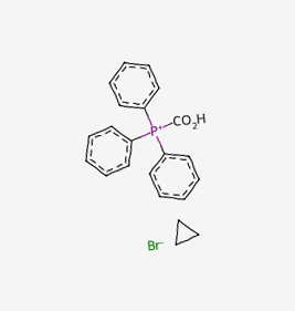 C1CC1.O=C(O)[P+](c1ccccc1)(c1ccccc1)c1ccccc1.[Br-]